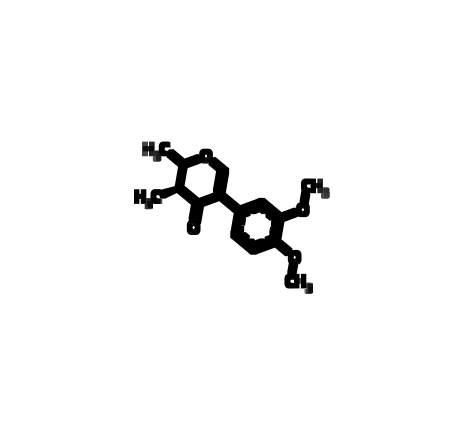 COc1ccc(C2=COC(C)[C@H](C)C2=O)cc1OC